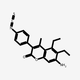 CCc1c(N)cc2oc(=O)c(-c3ccc(N=C=S)cc3)c(C)c2c1CC